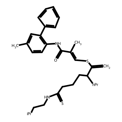 C=C(S/C=C(\C)C(=O)Nc1ccc(C)cc1-c1ccccc1)C(CCC)CCCC(=S)NCCC(C)C